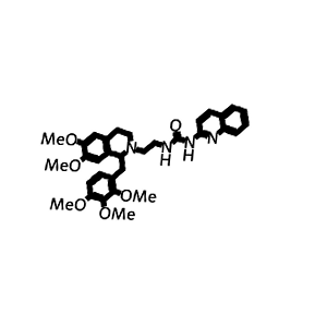 COc1cc2c(cc1OC)C(Cc1ccc(OC)c(OC)c1OC)N(CCNC(=O)Nc1ccc3ccccc3n1)CC2